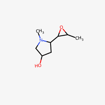 CC1OC1C1CC(O)CN1C